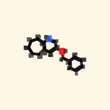 c1ccc(COc2cnc3c(c2)CCCCC3)cc1